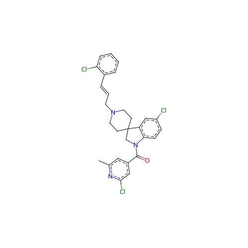 Cc1cc(C(=O)N2CC3(CCN(C/C=C/c4ccccc4Cl)CC3)c3cc(Cl)ccc32)cc(Cl)n1